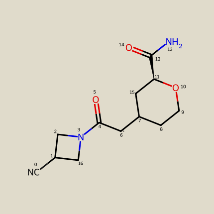 N#CC1CN(C(=O)[CH]C2CCO[C@H](C(N)=O)C2)C1